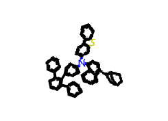 c1ccc(-c2cccc(-c3ccccc3)c2-c2ccc(N(c3ccc4c(c3)sc3ccccc34)c3ccc(C4CC5CCC4C5)c4ccccc34)cc2)cc1